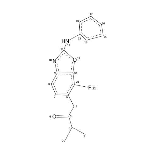 CC(C)C(=O)Cc1ccc2nc(Nc3ccccc3)oc2c1F